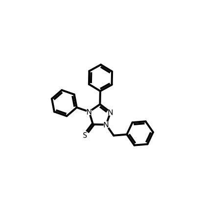 S=c1n(Cc2ccccc2)nc(-c2ccccc2)n1-c1ccccc1